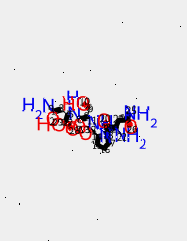 NC(=O)C[C@H](NC(=O)[C@H](CO)NC(=O)[C@@H]1CCCN1C(=O)[C@@H](N)CC(N)=O)C(=O)O